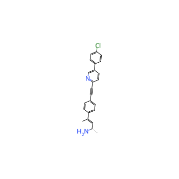 CC(=C[C@H](C)N)c1ccc(C#Cc2ccc(-c3ccc(Cl)cc3)cn2)cc1